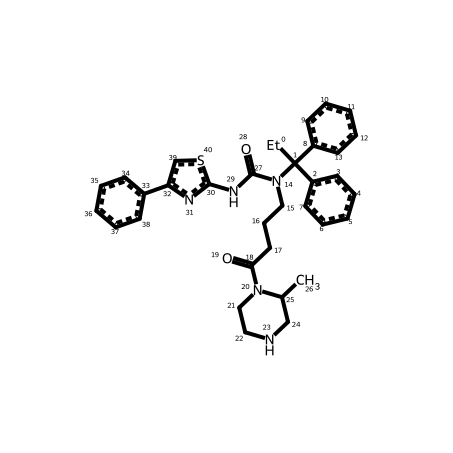 CCC(c1ccccc1)(c1ccccc1)N(CCCC(=O)N1CCNCC1C)C(=O)Nc1nc(-c2ccccc2)cs1